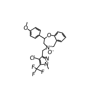 COc1ccc(C2C[N+]([O-])(Cc3nn(C)c(C(F)(F)F)c3Cl)Cc3ccccc3O2)cc1